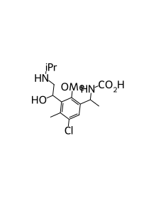 COc1c(C(C)NC(=O)O)cc(Cl)c(C)c1C(O)CNC(C)C